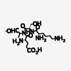 C[C@@H]([C]=O)N(C(=O)[C@H](CO)NC(=O)[C@@H](N)CCCCN)C(=O)[C@@H](N)CCC(=O)O